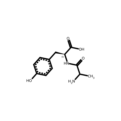 CC(N)C(=O)N[C@@H](Cc1ccc(O)cc1)C(=O)O